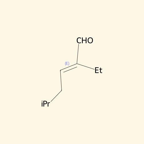 CC/C(C=O)=C\CC(C)C